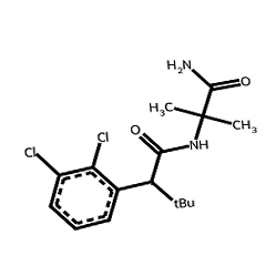 CC(C)(C)[C](C(=O)NC(C)(C)C(N)=O)c1cccc(Cl)c1Cl